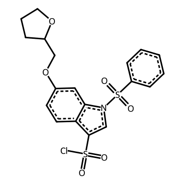 O=S(=O)(Cl)c1cn(S(=O)(=O)c2ccccc2)c2cc(OCC3CCCO3)ccc12